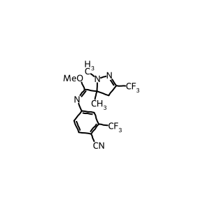 COC(=Nc1ccc(C#N)c(C(F)(F)F)c1)C1(C)CC(C(F)(F)F)=NN1C